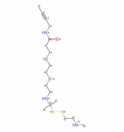 CC#CCNC(=O)CCOCCOCCNC(C)(C)SSCCNC